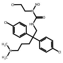 CN(C)CCCC(CNC(=O)N(CCCl)N=O)(c1ccc(Cl)cc1)c1ccc(Cl)cc1